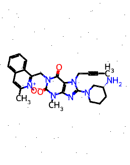 CC#CCn1c(N2CCC[C@@H](N)C2)nc2c1c(=O)n(Cc1c3ccccc3cc(C)[n+]1[O-])c(=O)n2C